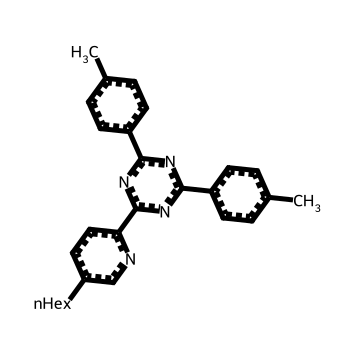 CCCCCCc1ccc(-c2nc(-c3ccc(C)cc3)nc(-c3ccc(C)cc3)n2)nc1